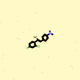 CN(C)c1ccc(/C=C(\C#N)c2ccc(F)cc2Cl)cc1